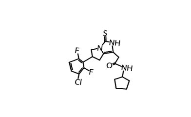 O=C(Cc1[nH]c(=S)n2c1CC(c1c(F)ccc(Cl)c1F)C2)NC1CCCC1